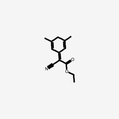 CCOC(=O)C(C#N)=C1C=C(C)CC(C)=C1